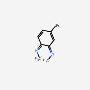 C/N=C1/C=CC(C(C)C)=C/C1=N/C